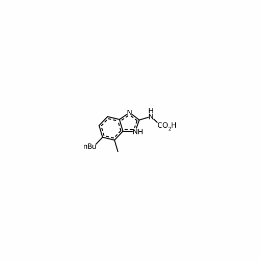 CCCCc1ccc2nc(NC(=O)O)[nH]c2c1C